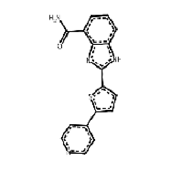 NC(=O)c1cccc2[nH]c(-c3ccc(-c4ccncc4)s3)nc12